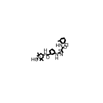 Cc1cccc(Cl)c1NC(=O)c1cnc(Nc2cccc(C(=O)NC3CC(C)(C)N(O)C(C)(C)C3)c2)s1